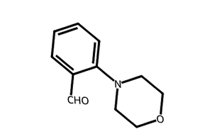 O=Cc1ccccc1N1CCOCC1